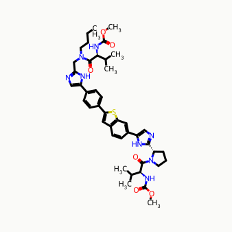 CCCCN(Cc1ncc(-c2ccc(-c3cc4ccc(-c5cnc([C@@H]6CCCN6C(=O)[C@@H](NC(=O)OC)C(C)C)[nH]5)cc4s3)cc2)[nH]1)C(=O)[C@@H](NC(=O)OC)C(C)C